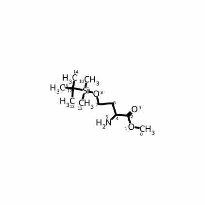 COC(=O)C(N)CCO[Si](C)(C)C(C)(C)C